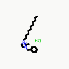 CCCCCCCCCCCC[n+]1ccn(Cc2ccccc2)c1C.Cl